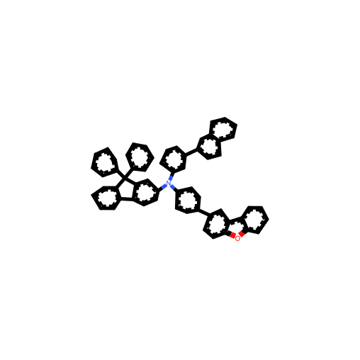 c1ccc(C2(c3ccccc3)c3ccccc3-c3ccc(N(c4ccc(-c5ccc6oc7ccccc7c6c5)cc4)c4cccc(-c5ccc6ccccc6c5)c4)cc32)cc1